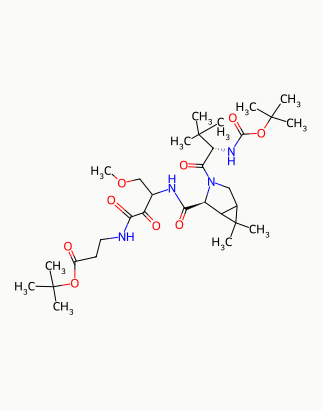 COCC(NC(=O)[C@@H]1C2C(CN1C(=O)[C@@H](NC(=O)OC(C)(C)C)C(C)(C)C)C2(C)C)C(=O)C(=O)NCCC(=O)OC(C)(C)C